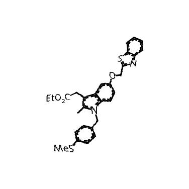 CCOC(=O)Cc1c(C)n(Cc2ccc(SC)cc2)c2ccc(OCc3nc4ccccc4s3)cc12